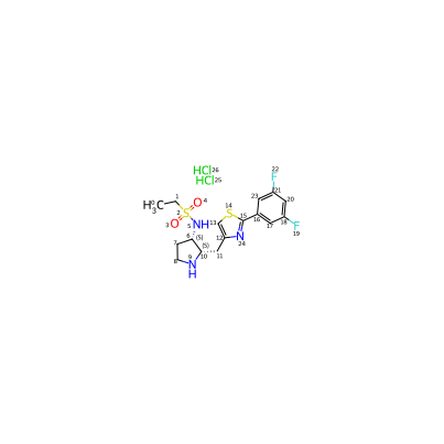 CCS(=O)(=O)N[C@H]1CCN[C@H]1Cc1csc(-c2cc(F)cc(F)c2)n1.Cl.Cl